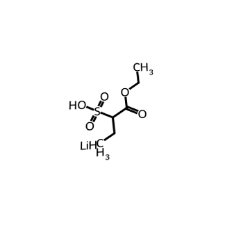 CCOC(=O)C(CC)S(=O)(=O)O.[LiH]